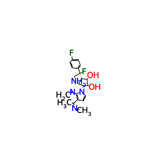 C=Nc1c(/C(C)=N\C)ccn1[C@@H]1C[C@H](C(F)(CN)c2ccc(F)cc2)[C@@H](O)[C@H]1O